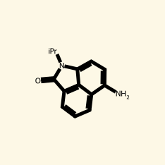 CC(C)N1C(=O)c2cccc3c(N)ccc1c23